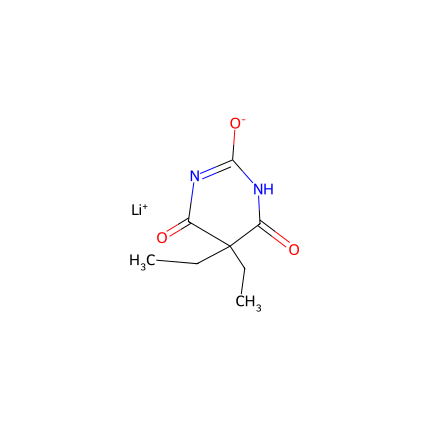 CCC1(CC)C(=O)N=C([O-])NC1=O.[Li+]